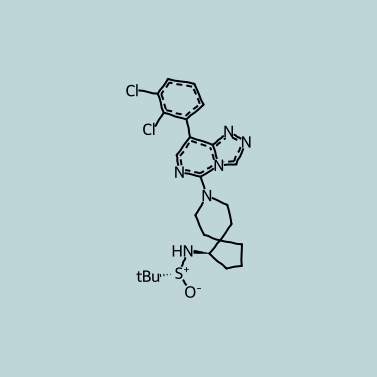 CC(C)(C)[S@@+]([O-])N[C@@H]1CCCC12CCN(c1ncc(-c3cccc(Cl)c3Cl)c3nncn13)CC2